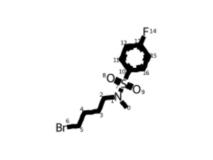 CN(CCCCBr)S(=O)(=O)c1ccc(F)cc1